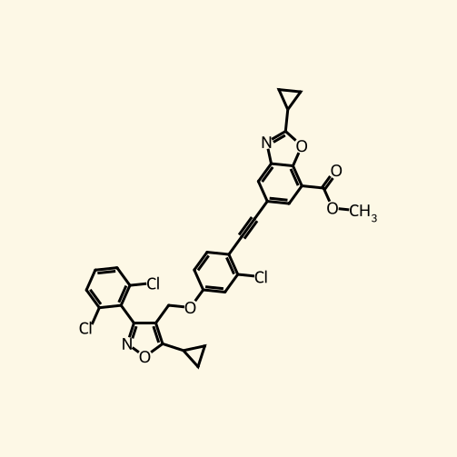 COC(=O)c1cc(C#Cc2ccc(OCc3c(-c4c(Cl)cccc4Cl)noc3C3CC3)cc2Cl)cc2nc(C3CC3)oc12